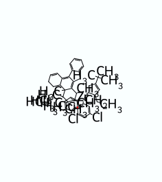 Cl.Cl.[CH2]=[Zr]([C]1=CC(C(C)(C)C)=CC1CC)([c]1cccc(Cl)c1)([c]1cccc(Cl)c1)[C]1(C)C2=C3Cc4ccccc4C3=C3C=CCCC3C2(C)C(C)(C)C(C)(C)C1(C)C